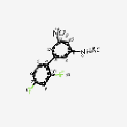 CC(=O)Nc1cc(-c2ccc(F)cc2F)cc([N+](=O)[O-])c1